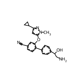 Cn1nc(C2CC2)cc1Oc1cc(C#N)ccc1-c1ccc(C(O)CN)cc1